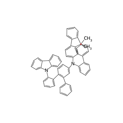 CC1(C)c2ccccc2-c2ccc(N(c3ccc(-c4ccccc4-n4c5ccccc5c5ccccc54)c(-c4ccccc4)c3)c3ccccc3-c3ccccc3)cc21